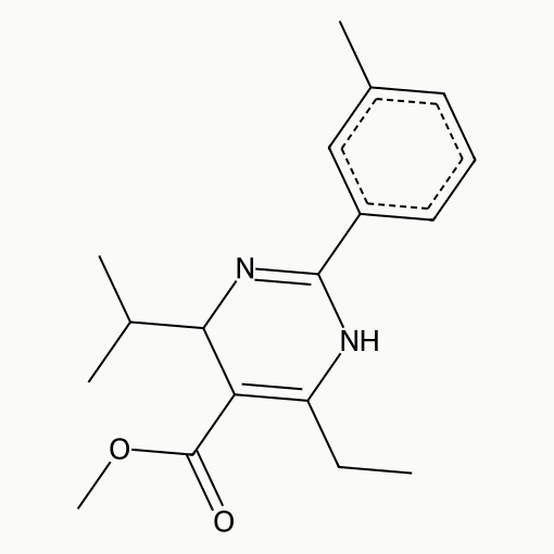 CCC1=C(C(=O)OC)C(C(C)C)N=C(c2cccc(C)c2)N1